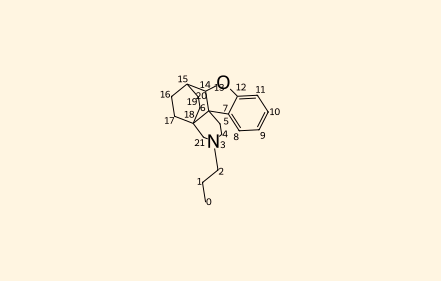 CCCN1CCC23c4ccccc4OC2C2CCC3(CC2)C1